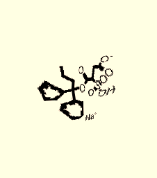 CCCC(OC(=O)C(CC(=O)[O-])S(=O)(=O)O)(c1ccccc1)c1ccccc1.[Na+]